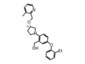 CCc1ccccc1Oc1ccc(N2CC[C@H](OCc3ncccc3C)C2)c(CO)c1